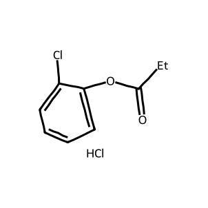 CCC(=O)Oc1ccccc1Cl.Cl